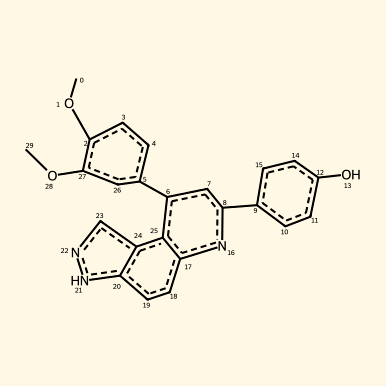 COc1ccc(-c2cc(-c3ccc(O)cc3)nc3ccc4[nH]ncc4c23)cc1OC